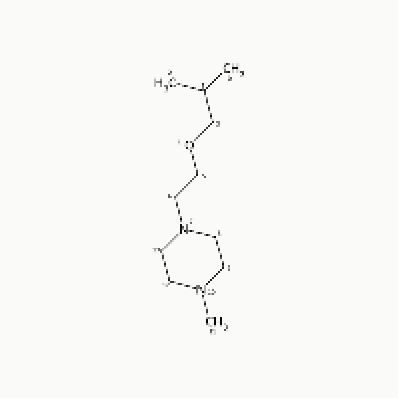 CC(C)COCCN1CCN(C)CC1